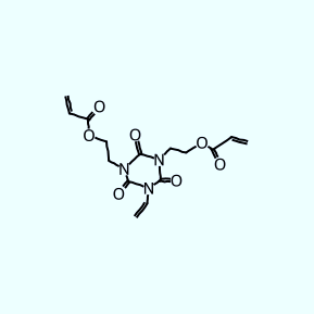 C=CC(=O)OCCn1c(=O)n(C=C)c(=O)n(CCOC(=O)C=C)c1=O